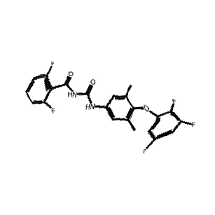 Cc1cc(NC(=O)NC(=O)c2c(F)cccc2F)cc(C)c1Oc1cc(F)cc(F)c1F